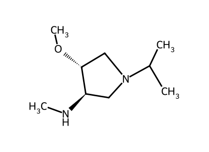 CN[C@@H]1CN(C(C)C)C[C@H]1OC